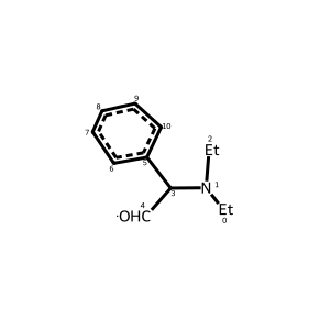 CCN(CC)C([C]=O)c1ccccc1